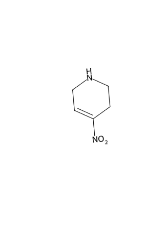 O=[N+]([O-])C1=CCNCC1